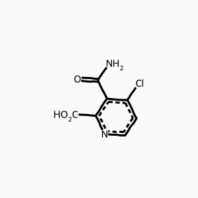 NC(=O)c1c(Cl)ccnc1C(=O)O